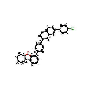 Clc1ccc(-c2ccc3ccc(-c4ccc(-c5cccc6c5oc5ccccc56)cc4)cc3c2)cc1